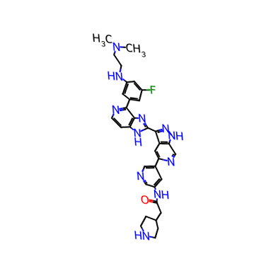 CN(C)CCNc1cc(F)cc(-c2nccc3[nH]c(-c4n[nH]c5cnc(-c6cncc(NC(=O)CC7CCNCC7)c6)cc45)nc23)c1